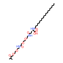 CCCCCCCCCCCCCCCCCCCC(=O)N[C@@H](CCC(=O)NCCOCCOCC(=O)NCCOCCOCC(=O)C(C)C)C(=O)O